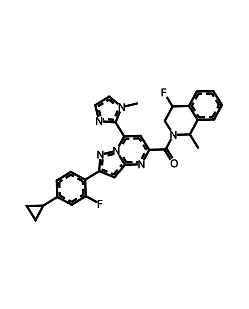 CC1c2ccccc2C(F)CN1C(=O)c1cc(-c2nccn2C)n2nc(-c3ccc(C4CC4)cc3F)cc2n1